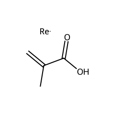 C=C(C)C(=O)O.[Re]